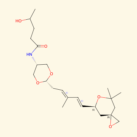 CC(/C=C/[C@@H]1C[C@]2(CO2)CC(C)(C)O1)=C\C[C@H]1OC[C@@H](NC(=O)CCC(C)O)CO1